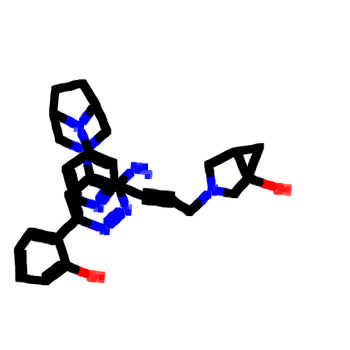 Nc1nnc(-c2ccccc2O)cc1N1CC2CCC(C1)N2c1ccnc(C#CCN2CC3CC3(O)C2)c1